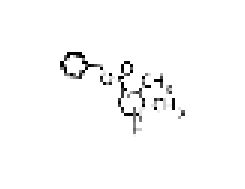 C[C@@H]1NCCN(C(=O)OCc2ccccc2)[C@@H]1C